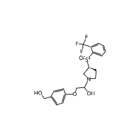 [O-][S@+](c1ccccc1C(F)(F)F)[C@H]1CCN(C(O)COc2ccc(CO)cc2)C1